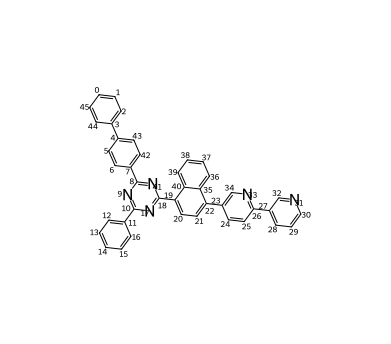 c1ccc(-c2ccc(-c3nc(-c4ccccc4)nc(-c4ccc(-c5ccc(-c6cccnc6)nc5)c5ccccc45)n3)cc2)cc1